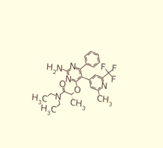 CCN(CC)C(=O)[C@@H](C)Oc1nc(N)nc(-c2ccccc2)c1-c1cc(C)nc(C(F)(F)F)c1